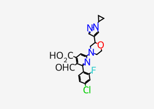 O=Cc1c(C(=O)O)cc(N2CCOC(c3cnn(C4CC4)c3)C2)nc1-c1ccc(Cl)cc1F